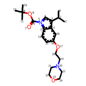 CC(C)c1cn(C(=O)OC(C)(C)C)c2ccc(OCCN3CCOCC3)cc12